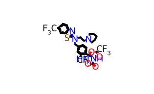 O=C1NC(OC(=O)C(F)(F)F)(c2ccc(CN(CCN3CCCCC3)c3nc4ccc(C(F)(F)F)cc4s3)cc2C(F)(F)F)NO1